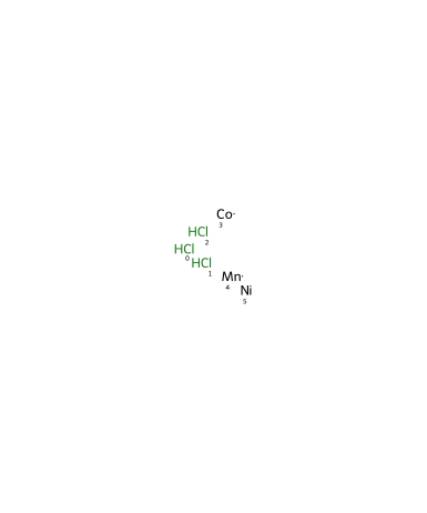 Cl.Cl.Cl.[Co].[Mn].[Ni]